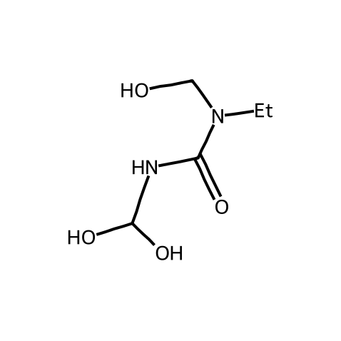 CCN(CO)C(=O)NC(O)O